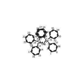 c1ccc([Si]([N][Si](c2ccccc2)(c2ccccc2)c2ccccc2)(c2ccccc2)c2ccccc2)cc1